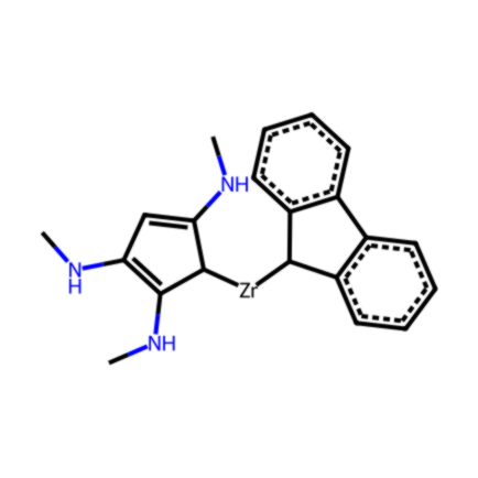 CNC1=CC(NC)=C(NC)[CH]1[Zr][CH]1c2ccccc2-c2ccccc21